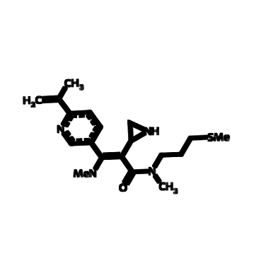 C=C(C)c1ccc(/C(NC)=C(/C(=O)N(C)CCCSC)C2CN2)cn1